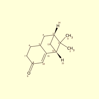 CC1(C)[C@H]2CC3CCC(=O)C=C3[C@@H]1C2